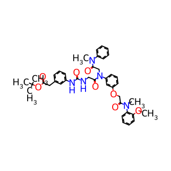 COc1ccccc1N(C)C(=O)COc1cccc(N(CC(=O)N(C)c2ccccc2)C(=O)CNC(=O)Nc2cccc(CC(=O)OC(C)(C)C)c2)c1